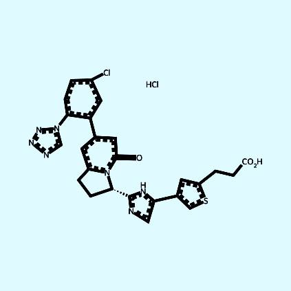 Cl.O=C(O)CCc1cc(-c2cnc([C@@H]3CCc4cc(-c5cc(Cl)ccc5-n5cnnn5)cc(=O)n43)[nH]2)cs1